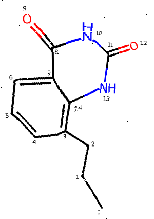 CCCc1cccc2c(=O)[nH]c(=O)[nH]c12